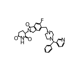 O=C1CCC(N2Cc3cc(CN4CCN(C(c5ccccc5)c5cccnc5)CC4)c(F)cc3C2=O)C(=O)N1